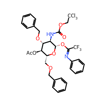 CC(=O)O[C@H]1[C@H](OCc2ccccc2)[C@@H](NC(=O)OCC(Cl)(Cl)Cl)[C@H](OC(=Nc2ccccc2)C(F)(F)F)O[C@@H]1COCc1ccccc1